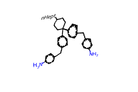 CCCCCCCC1CCC(c2ccc(Cc3ccc(N)cc3)cc2)(c2ccc(Cc3ccc(N)cc3)cc2)CC1